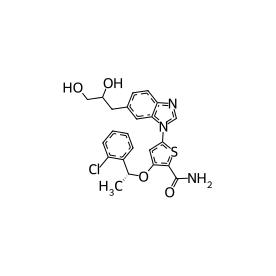 C[C@@H](Oc1cc(-n2cnc3ccc(CC(O)CO)cc32)sc1C(N)=O)c1ccccc1Cl